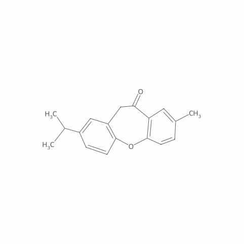 Cc1ccc2c(c1)C(=O)Cc1cc(C(C)C)ccc1O2